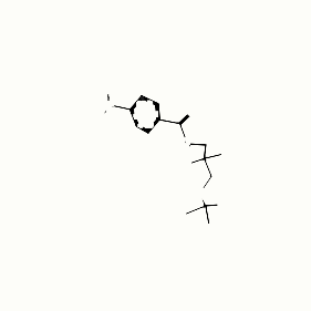 CC(C)(CNC(=O)c1ccc(B(O)O)cc1)COC(C)(C)C